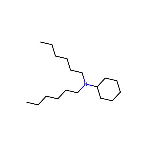 CCCCCCN(CCCCCC)C1CCCCC1